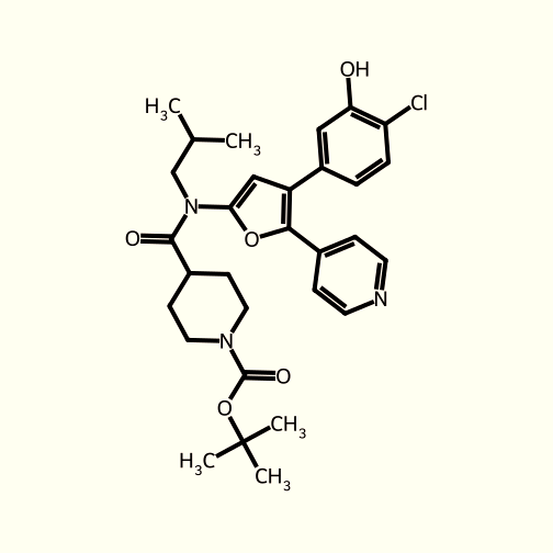 CC(C)CN(C(=O)C1CCN(C(=O)OC(C)(C)C)CC1)c1cc(-c2ccc(Cl)c(O)c2)c(-c2ccncc2)o1